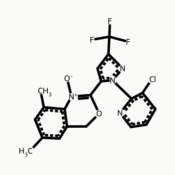 Cc1cc(C)c2c(c1)COC(c1cc(C(F)(F)F)nn1-c1ncccc1Cl)=[N+]2[O-]